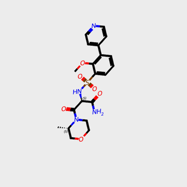 COc1c(-c2ccncc2)cccc1S(=O)(=O)N[C@@H](C(N)=O)C(=O)N1CCOC[C@@H]1C